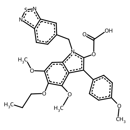 CCCOc1c(OC)cc2c(c1OC)c(-c1ccc(OC)cc1)c(OC(=O)O)n2Cc1ccc2nsnc2c1